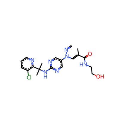 C=NN(/C=C(\C)C(=O)NCCO)c1cnc(NC(C)(C)c2ncccc2Cl)nc1